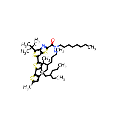 CCCCCCCCNC(=O)c1nc2c(C(C)(C)C)sc(-c3cc4c(s3)-c3sc(C)cc3[Si]4(CC(CC)CCC)CC(CC)CCCC)c2s1